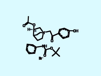 CC(=O)O[C@H]1C[N+]2(CC(=O)c3ccc(O)cc3)CCC1CC2.CC(C)(C)OC(=O)Nc1ccccc1.[Br-]